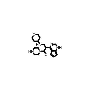 O=C(C(CNC1CCOCC1)c1nc[nH]c2cccc1-2)N1CCNCC1